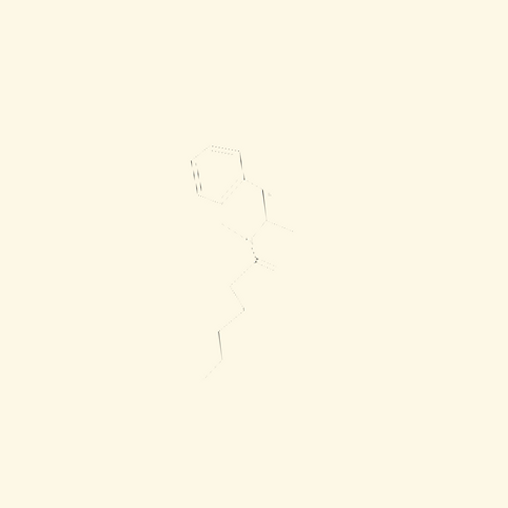 CC([C@@H](O)c1ccccc1)N(C)C(=O)CCCCCl